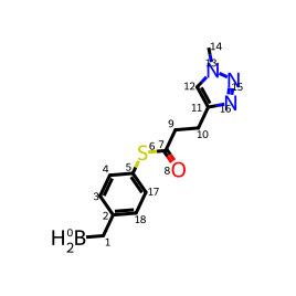 BCc1ccc(SC(=O)CCc2cn(C)nn2)cc1